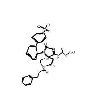 CC(C)S(=O)(=O)c1ccc(-c2ccccc2N2C(=O)N=C(NC(=O)OC(C)(C)C)[C@]23CCN(C(=O)OCc2ccccc2)[C@@H](C)C3)cc1